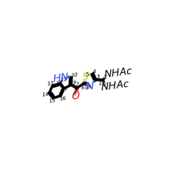 CC(=O)NC(NC(C)=O)c1csc(C(=O)c2c[nH]c3ccccc23)n1